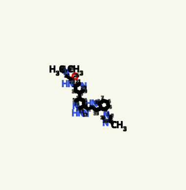 Cc1cn(-c2cccc3[nH]c(-c4n[nH]c5ncc(-c6cncc(NC(=O)CN(C)C)c6)cc45)cc23)cn1